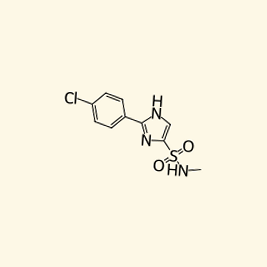 CNS(=O)(=O)c1c[nH]c(-c2ccc(Cl)cc2)n1